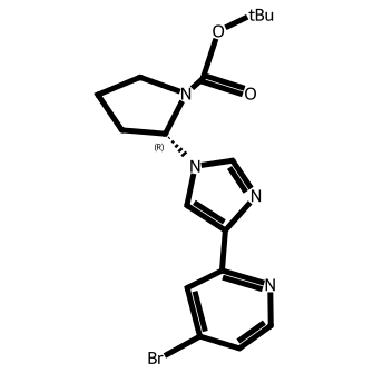 CC(C)(C)OC(=O)N1CCC[C@H]1n1cnc(-c2cc(Br)ccn2)c1